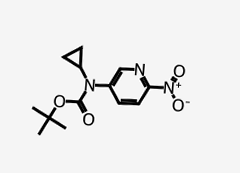 CC(C)(C)OC(=O)N(c1ccc([N+](=O)[O-])nc1)C1CC1